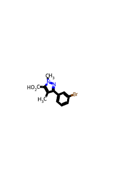 Cc1c(-c2cccc(Br)c2)nn(C)c1C(=O)O